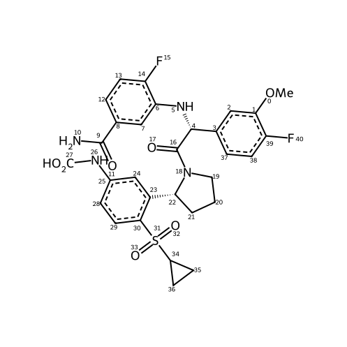 COc1cc([C@@H](Nc2cc(C(N)=O)ccc2F)C(=O)N2CCC[C@@H]2c2cc(NC(=O)O)ccc2S(=O)(=O)C2CC2)ccc1F